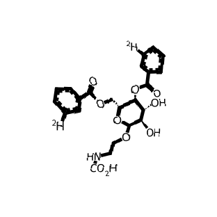 [2H]c1cccc(C(=O)OC[C@H]2OC(OCCNC(=O)O)[C@H](O)[C@@H](O)[C@H]2OC(=O)c2cccc([2H])c2)c1